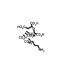 CC(=O)O.CC(=O)O.CC(=O)O.CC(=O)O.NCCN.O=C(O)COC(CC(=O)O)C(=O)O